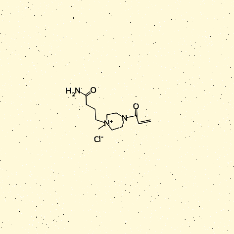 C=CC(=O)N1CC[N+](C)(CCCC(N)=O)CC1.[Cl-]